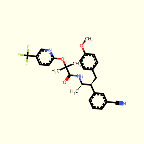 COc1ccc(C[C@@H](c2cccc(C#N)c2)[C@H](C)NC(=O)C(C)(C)Oc2ccc(C(F)(F)F)cn2)cc1